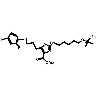 COC(=O)c1nc(NCCCCCO[Si](C)(C)C(C)(C)C)sc1CCCOc1ccc(I)cc1F